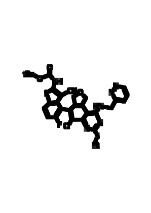 CCSc1nc(NCc2cccnn2)c2c3c(c(-c4c(F)ccc5sc(NC(=O)OC(C)(C)C)c(C#N)c45)c(Cl)c2n1)COC3